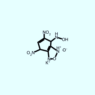 O=[N+]([O-])C1=CC([N+](=O)[O-])C2=C(C1NO)[NH+]([O-])O[N-]2.[K+]